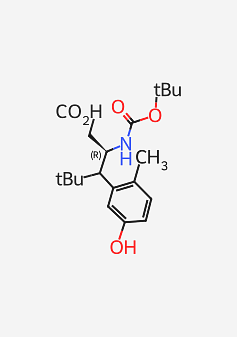 Cc1ccc(O)cc1C([C@@H](CC(=O)O)NC(=O)OC(C)(C)C)C(C)(C)C